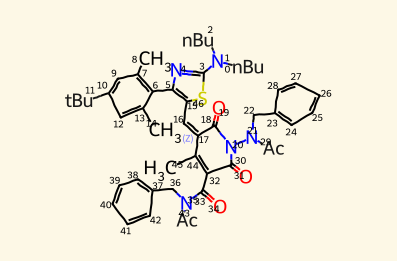 CCCCN(CCCC)c1nc(-c2c(C)cc(C(C)(C)C)cc2C)c(/C=C2\C(=O)N(N(Cc3ccccc3)C(C)=O)C(=O)C(C(=O)N(Cc3ccccc3)C(C)=O)=C2C)s1